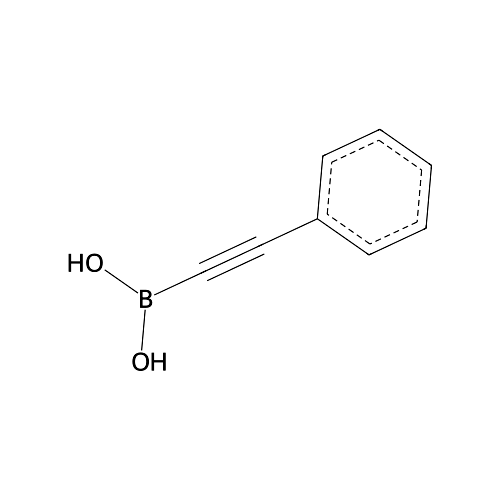 OB(O)C#Cc1ccccc1